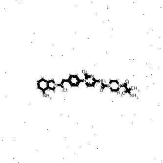 CCC(Cc1ccc(-n2ccc(NC(=O)N3CCN(C(=O)C(C)(C)N)CC3)nc2=O)cc1)N1CC2CCCC(N)C2C1